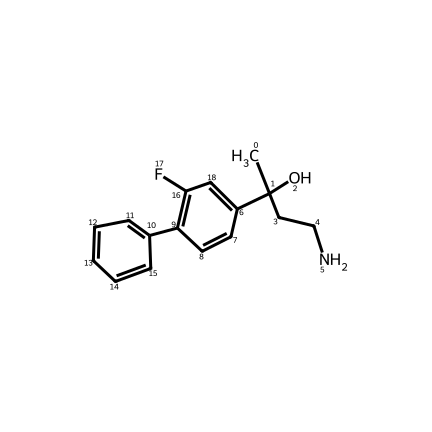 CC(O)(CCN)c1ccc(-c2ccccc2)c(F)c1